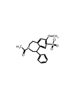 COc1cc2c(cc1S(=O)(=O)Cl)C(c1ccccc1)CN(C(C)=O)CC2